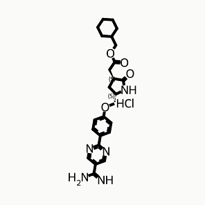 Cl.N=C(N)c1cnc(-c2ccc(OC[C@@H]3C[C@@H](CC(=O)OCC4CCCCC4)C(=O)N3)cc2)nc1